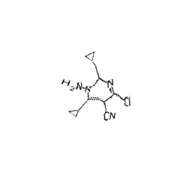 N#CC1=C(C2CC2)N(N)C(C2CC2)N=C1Cl